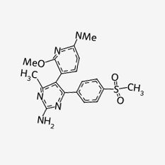 CNc1ccc(-c2c(C)nc(N)nc2-c2ccc(S(C)(=O)=O)cc2)c(OC)n1